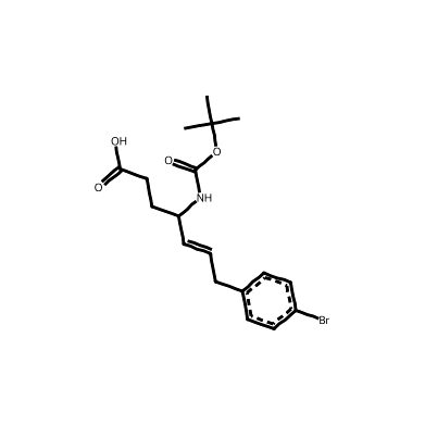 CC(C)(C)OC(=O)NC(C=CCc1ccc(Br)cc1)CCC(=O)O